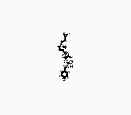 Cc1nc(-c2ccn(CCC3CC3)n2)sc1OC(=O)NCc1ccc(F)cc1